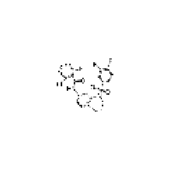 O=C(Nc1ccc2c(c1)N(S(=O)(=O)c1ccc(F)c(F)c1)CCC2)c1c(F)cccc1Cl